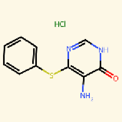 Cl.Nc1c(Sc2ccccc2)nc[nH]c1=O